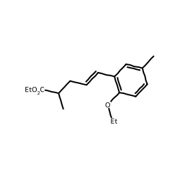 CCOC(=O)C(C)C/C=C/c1cc(C)ccc1OCC